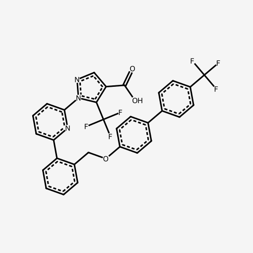 O=C(O)c1cnn(-c2cccc(-c3ccccc3COc3ccc(-c4ccc(C(F)(F)F)cc4)cc3)n2)c1C(F)(F)F